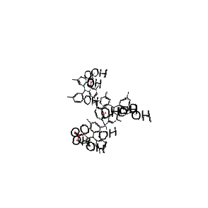 Cc1ccc(O)c(C(c2cc(C)ccc2O)c2cc(C(C)(C)c3ccc(C(C)(c4cc(C)c(OCC(=O)O)c(C(c5cc(C)ccc5O)c5cc(C)ccc5O)c4)c4cc(C)c(OCC(=O)O)c(C(c5cc(C)ccc5O)c5cc(C)ccc5O)c4)cc3)cc(C)c2OCC(=O)O)c1